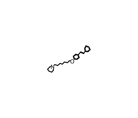 C(=C\c1ccc(OCCCCCCCN2CCCCC2)cc1)/c1ccccc1